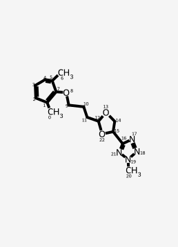 Cc1cccc(C)c1OCCCC1OCC(c2nnn(C)n2)O1